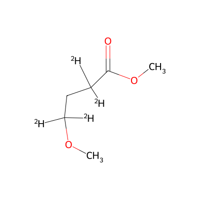 [2H]C([2H])(CC([2H])([2H])C(=O)OC)OC